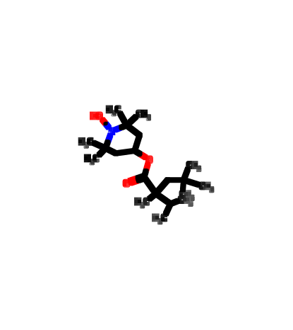 CC(C)C(C)(CC(C)(C)C)C(=O)OC1CC(C)(C)N(O)C(C)(C)C1